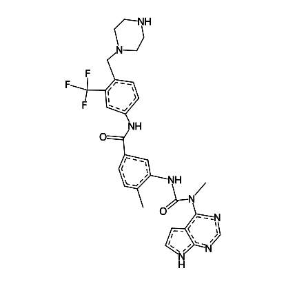 Cc1ccc(C(=O)Nc2ccc(CN3CCNCC3)c(C(F)(F)F)c2)cc1NC(=O)N(C)c1ncnc2[nH]ccc12